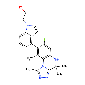 Cc1nnc2n1-c1c(cc(F)c(-c3cccc4c3ccn4CCO)c1C(F)(F)F)NC2(C)C